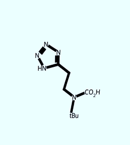 CC(C)(C)N(CCc1nnn[nH]1)C(=O)O